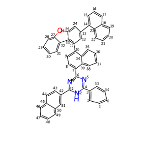 c1ccc(C2=NC(c3ccc(-c4cc(-c5cccc6ccccc56)cc5oc6ccccc6c45)c4ccccc34)=NC(c3ccc4ccccc4c3)N2)cc1